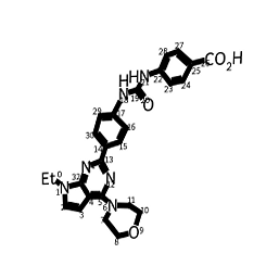 CCn1ccc2c(N3CCOCC3)nc(-c3ccc(NC(=O)Nc4ccc(C(=O)O)cc4)cc3)nc21